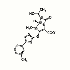 CC(O)[C@H]1C(=O)N2C(C(=O)[O-])=C(Sc3nc(-c4ccc[n+](C)c4)cs3)[C@H](C)[C@H]12